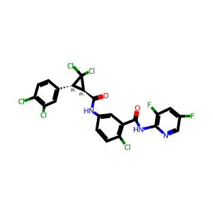 O=C(Nc1ncc(F)cc1F)c1cc(NC(=O)[C@H]2[C@H](c3ccc(Cl)c(Cl)c3)C2(Cl)Cl)ccc1Cl